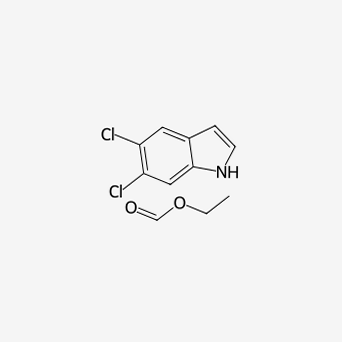 CCOC=O.Clc1cc2cc[nH]c2cc1Cl